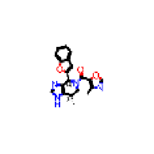 Cc1ncoc1C(=O)N1C[C@H](C)c2[nH]cnc2[C@H]1c1cc2ccccc2o1